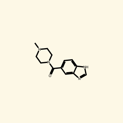 CN1CCN(C(=O)c2ccc3[nH]cnc3c2)CC1